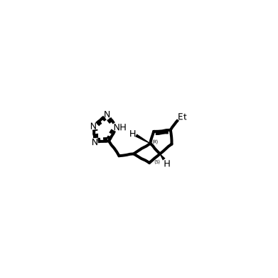 CCC1=C[C@H]2C(Cc3nnn[nH]3)C[C@H]2C1